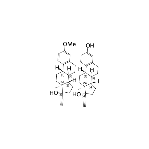 C#C[C@]1(O)CC[C@H]2[C@@H]3CCc4cc(O)ccc4[C@H]3CC[C@@]21C.C#C[C@]1(O)CC[C@H]2[C@@H]3CCc4cc(OC)ccc4[C@H]3CC[C@@]21C